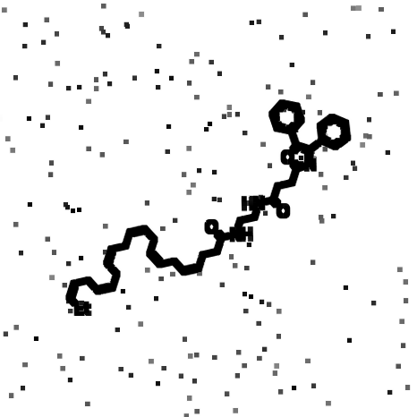 CC/C=C\C/C=C\C/C=C\C/C=C\C/C=C\C/C=C\CCC(=O)NCCNC(=O)CCc1nc(-c2ccccc2)c(-c2ccccc2)o1